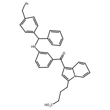 CC(C)Cc1ccc(C(Nc2cccc(C(=O)c3cc(CCCC(=O)O)n4ccccc34)c2)c2ccccc2)cc1